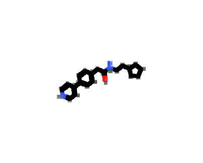 O=C(Cc1ccc(-c2ccncc2)cc1)NCCC1CCCC1